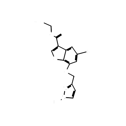 CCOC(=O)c1coc2c(OCc3ccn(C)n3)cc(Br)cc12